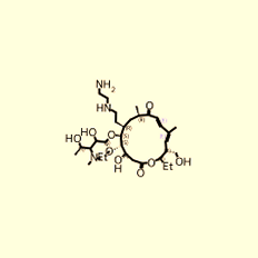 CCO[C@@H](O[C@H]1[C@@H](CCNCCN)C[C@@H](C)C(=O)/C=C/C(C)=C/[C@H](CO)[C@@H](CC)OC(=O)C[C@@H](O)[C@@H]1C)C(O)C([C@@H](C)O)N(C)C